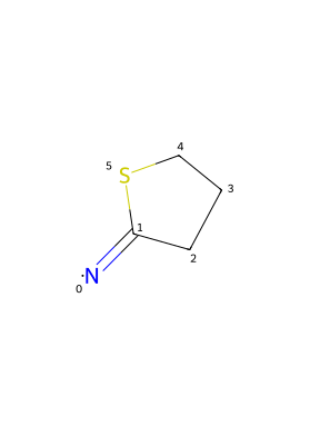 [N]=C1CCCS1